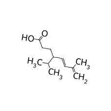 C=C(C)C=CC(CCC(=O)O)C(C)C